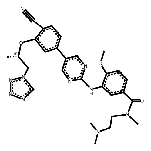 COc1ccc(C(=O)N(C)CCN(C)C)cc1Nc1ncc(-c2ccc(C#N)c(O[C@@H](C)Cn3cnnn3)c2)cn1